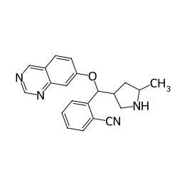 CC1CC(C(Oc2ccc3cncnc3c2)c2ccccc2C#N)CN1